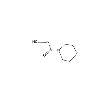 [CH]=CC(=O)N1CCSCC1